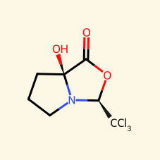 O=C1O[C@@H](C(Cl)(Cl)Cl)N2CCC[C@]12O